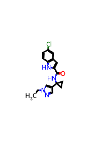 CCn1cc(C2(NC(=O)c3cc4cc(Cl)ccc4[nH]3)CC2)cn1